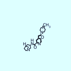 CN1CCN(c2cc3cc(C(=O)N[C@@H]4C[C@@H]5CCN(C5)C4)ncc3o2)CC1